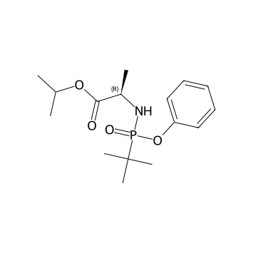 CC(C)OC(=O)[C@@H](C)NP(=O)(Oc1ccccc1)C(C)(C)C